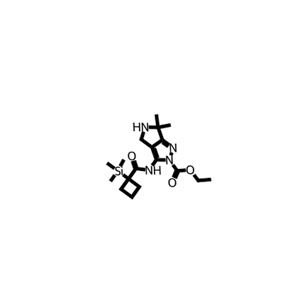 CCOC(=O)n1nc2c(c1NC(=O)C1([Si](C)(C)C)CCC1)CNC2(C)C